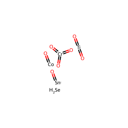 [O]=[Co].[O]=[Cr](=[O])=[O].[O]=[Sn].[O]=[Ti]=[O].[SeH2]